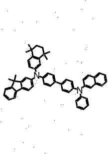 CC1(C)CCC(C)(C)c2cc(N(c3ccc(-c4ccc(N(c5ccccc5)c5ccc6ccccc6c5)cc4)cc3)c3ccc4c(c3)C(C)(C)c3ccccc3-4)ccc21